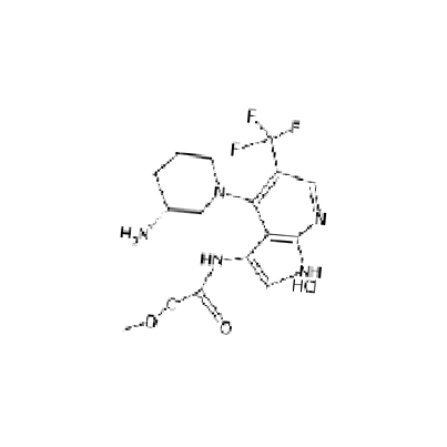 COCC(=O)Nc1c[nH]c2ncc(C(F)(F)F)c(N3CCC[C@@H](N)C3)c12.Cl